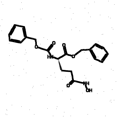 O=C(CC[C@H](NC(=O)OCc1ccccc1)C(=O)OCc1ccccc1)NO